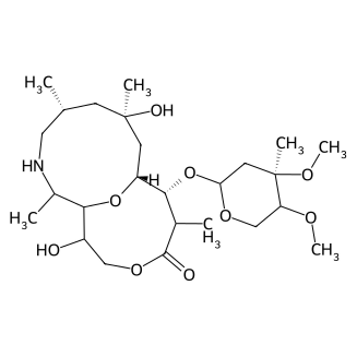 COC1COC(O[C@@H]2C(C)C(=O)OCC(O)C3O[C@@H]2C[C@](C)(O)C[C@@H](C)CNC3C)C[C@@]1(C)OC